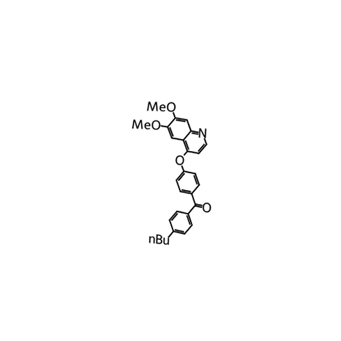 CCCCc1ccc(C(=O)c2ccc(Oc3ccnc4cc(OC)c(OC)cc34)cc2)cc1